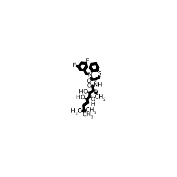 CO[C@@H](C(=O)N[C@H]1CSc2ccccc2N(Cc2cc(F)cc(F)c2)C1=O)[C@H](O)[C@@H](O)[C@H](O)C=CC(C)(C)C